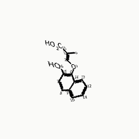 CC(=COc1c(O)ccc2ccccc12)C(=O)O